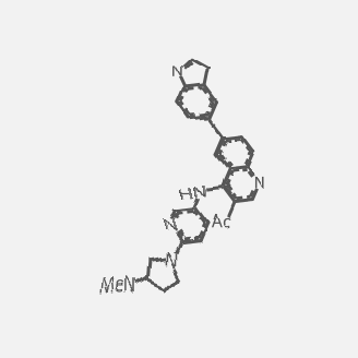 CNC1CCN(c2ccc(Nc3c(C(C)=O)cnc4ccc(-c5ccc6c(c5)CC=N6)cc34)cn2)C1